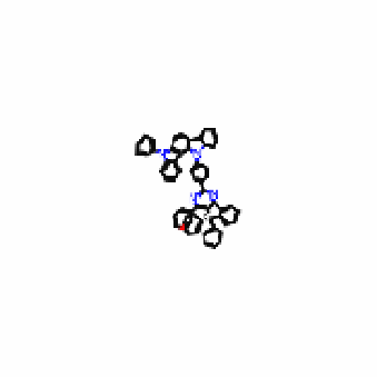 c1ccc(-c2nc(-c3ccc(-n4c5ccccc5c5ccc6c(c7ccccc7n6-c6ccccc6)c54)cc3)nc3c2[Si](c2ccccc2)(c2ccccc2)c2ccccc2-3)cc1